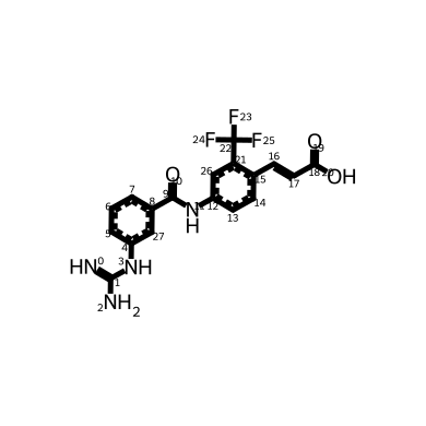 N=C(N)Nc1cccc(C(=O)Nc2ccc(C=CC(=O)O)c(C(F)(F)F)c2)c1